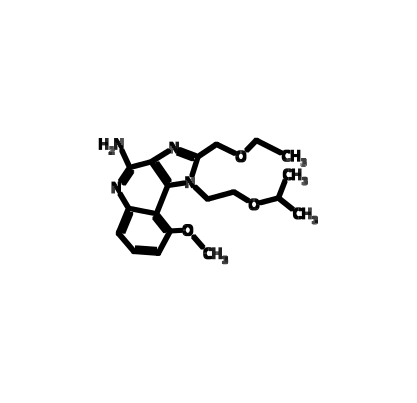 CCOCc1nc2c(N)nc3cccc(OC)c3c2n1CCOC(C)C